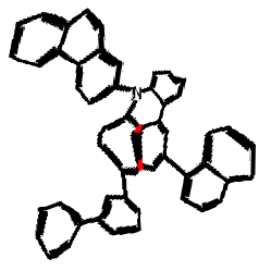 c1ccc(-c2cccc(-c3ccc(N(c4ccc5c(ccc6ccccc65)c4)c4ccccc4-c4cccc(-c5cccc6ccccc56)c4)cc3)c2)cc1